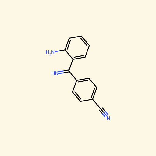 N#Cc1ccc(C(=N)c2ccccc2N)cc1